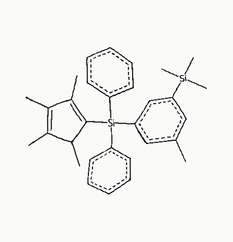 CC1=C(C)C(C)C([Si](c2ccccc2)(c2ccccc2)c2cc(C)cc([Si](C)(C)C)c2)=C1C